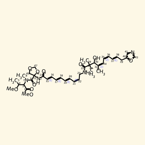 COC(=O)C(C(C)OC)N(C)C(=O)C1(NC(=O)/C=C/C=C/C=C/C=C\CNC(=O)C(C)(C)C(O)\C(C)=C/C=C\C=C\Cc2cnco2)COCO1